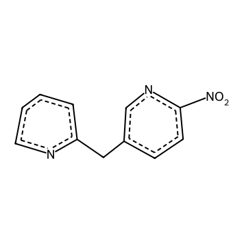 O=[N+]([O-])c1ccc(Cc2ccccn2)cn1